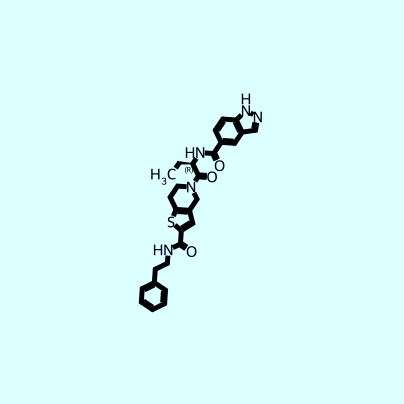 CC[C@@H](NC(=O)c1ccc2[nH]ncc2c1)C(=O)N1CCc2sc(C(=O)NCCc3ccccc3)cc2C1